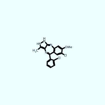 COc1cc2c(cc1Cl)C(c1ccccc1Cl)=NC1=C(C)NNC1=N2